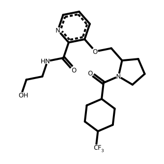 O=C(NCCO)c1ncccc1OCC1CCCN1C(=O)C1CCC(C(F)(F)F)CC1